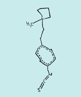 C[N+]1(CCc2ccc(N=C=S)cc2)CCC1